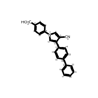 N#Cc1cn(-c2ccc(C(=O)O)cc2)cc1-c1ccc(-c2ccccc2)cc1